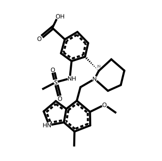 COc1cc(C)c2[nH]ccc2c1CN1CCCC[C@H]1c1ccc(C(=O)O)cc1NS(C)(=O)=O